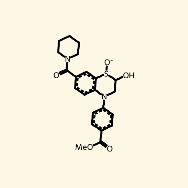 COC(=O)c1ccc(N2CC(O)[S+]([O-])c3cc(C(=O)N4CCCCC4)ccc32)cc1